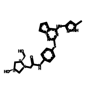 Cc1cc(Nc2nc(Sc3ccc(NC(=O)CN4C[C@H](O)C[C@@H]4CO)cc3)nn3cccc23)n[nH]1